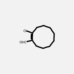 O=CC1=C(Cl)CCCCCCCC1